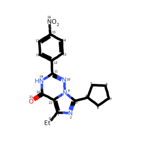 CCc1nc(C2CCCC2)n2nc(-c3ccc([N+](=O)[O-])cc3)[nH]c(=O)c12